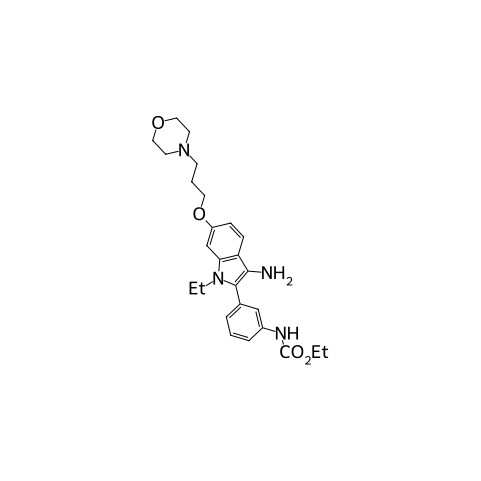 CCOC(=O)Nc1cccc(-c2c(N)c3ccc(OCCCN4CCOCC4)cc3n2CC)c1